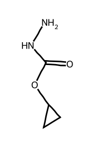 NNC(=O)OC1CC1